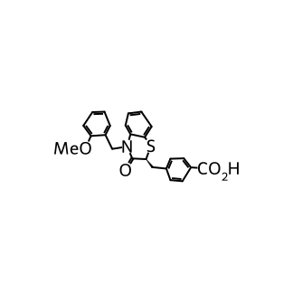 COc1ccccc1CN1C(=O)[C@H](Cc2ccc(C(=O)O)cc2)Sc2ccccc21